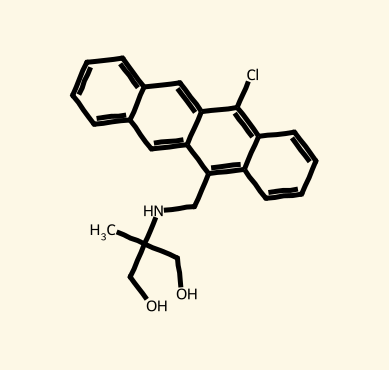 CC(CO)(CO)NCc1c2ccccc2c(Cl)c2cc3ccccc3cc12